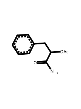 CC(=O)OC(Cc1ccccc1)C(N)=O